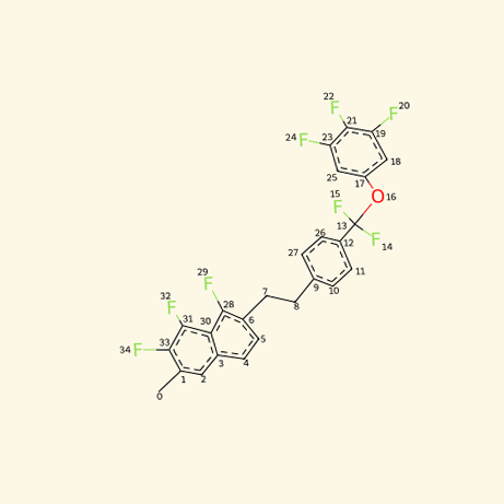 Cc1cc2ccc(CCc3ccc(C(F)(F)Oc4cc(F)c(F)c(F)c4)cc3)c(F)c2c(F)c1F